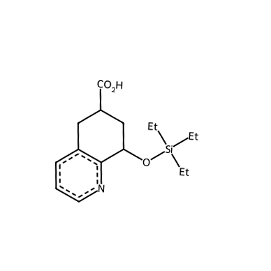 CC[Si](CC)(CC)OC1CC(C(=O)O)Cc2cccnc21